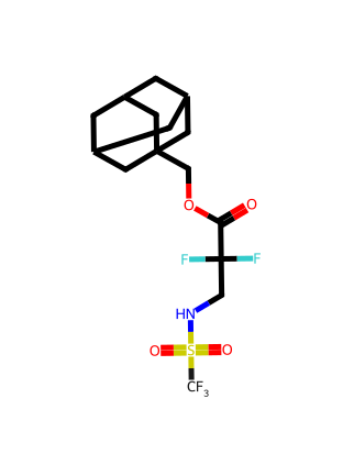 O=C(OCC12CC3CC(CC(C3)C1)C2)C(F)(F)CNS(=O)(=O)C(F)(F)F